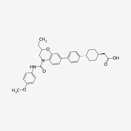 CCC1CN(C(=O)Nc2ccc(OC)cc2)c2ccc(-c3ccc([C@H]4CC[C@H](CC(=O)O)CC4)cc3)cc2O1